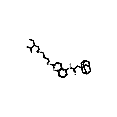 CCC(CNCCCNc1ccc2c(NC(=O)CC34CC5CC(CC(C5)C3)C4)cccc2n1)C(C)C